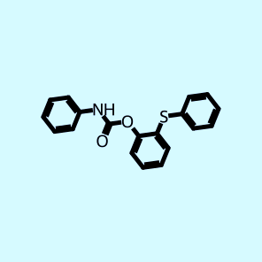 O=C(Nc1ccccc1)Oc1ccccc1Sc1ccccc1